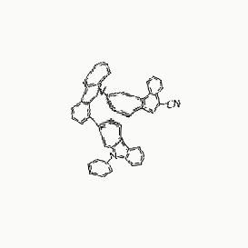 N#Cc1cc2ccc(-n3c4ccccc4c4cccc(-c5ccc6c7ccccc7n(-c7ccccc7)c6c5)c43)cc2c2ccccc12